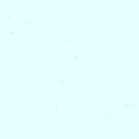 CCCCC(C)CN1C(=O)C2=C(c3ccc(-c4ccc(NC(CC)CCCC)cc4)s3)N(CC(CC)CCCC)C(=O)C2=C1c1ccc(-c2ccc(NC(CC)CCCC)cc2)s1